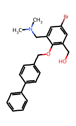 CN(C)Cc1cc(Br)cc(CO)c1OCc1ccc(-c2ccccc2)cc1